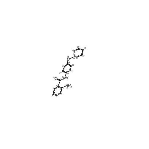 Nc1ccccc1C(=O)Nc1ccc(Oc2ccccc2)cc1